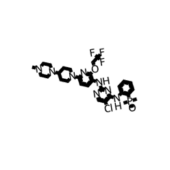 CN1CCN(C2CCN(c3ccc(Nc4ncc(Cl)c(Nc5ccccc5P(C)(C)=O)n4)c(OCC(F)(F)F)n3)CC2)CC1